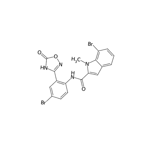 Cn1c(C(=O)Nc2ccc(Br)cc2-c2noc(=O)[nH]2)cc2cccc(Br)c21